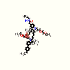 C#CCNC(=O)Cc1ccc2c(c1)C(C)(CCCS(=O)(=O)O)\C(=C/C=C/C=C/C1=[N+](CCOCCOC)c3ccc(-c4ccc(CC)cc4)cc3C1(C)C)N2CCCOCCOC